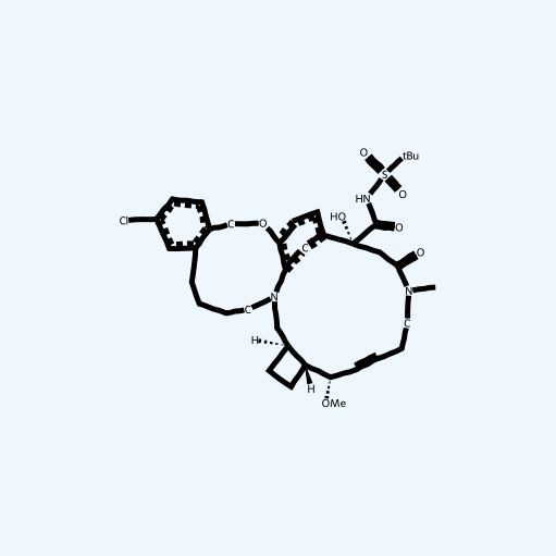 CO[C@H]1/C=C/CCN(C)C(=O)C[C@](O)(C(=O)NS(=O)(=O)C(C)(C)C)c2ccc3c(c2)N(CCCCc2cc(Cl)ccc2CO3)C[C@@H]2CC[C@H]21